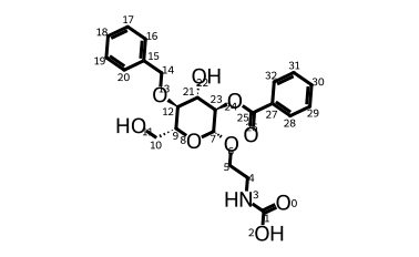 O=C(O)NCCO[C@@H]1O[C@H](CO)[C@@H](OCc2ccccc2)[C@H](O)[C@H]1OC(=O)c1ccccc1